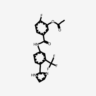 CC(=O)Oc1cc(C(=O)Nc2ccc(-c3ncc[nH]3)c(C(F)(F)F)c2)ccc1F